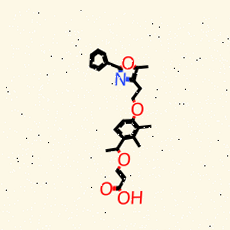 Cc1oc(-c2ccccc2)nc1CCOc1ccc(C(C)O/C=C/C(=O)O)c(C)c1C